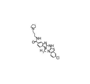 Cn1c(Nc2nc3ccc(Cl)cc3s2)nc2cc(C(=O)NCCCN3CCCC3)ccc21